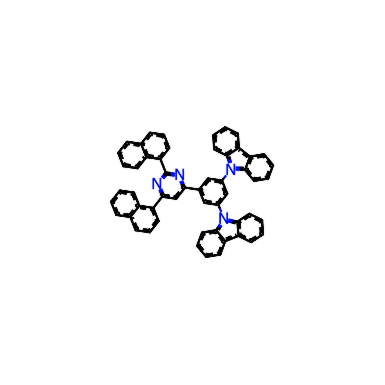 c1ccc2c(-c3cc(-c4cc(-n5c6ccccc6c6ccccc65)cc(-n5c6ccccc6c6ccccc65)c4)nc(-c4cccc5ccccc45)n3)cccc2c1